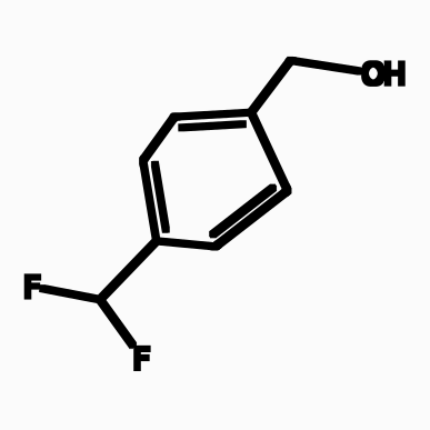 OCc1ccc(C(F)F)cc1